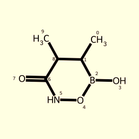 CC1B(O)ONC(=O)C1C